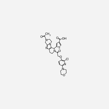 CC(=O)N1CCn2c(nc3c2C(c2cc(C(=O)O)cs2)N(C(=O)COc2ccc(N4CCOCC4)nc2Cl)CC3)C1